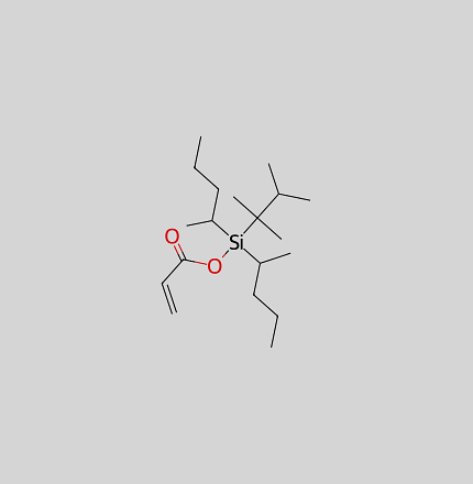 C=CC(=O)O[Si](C(C)CCC)(C(C)CCC)C(C)(C)C(C)C